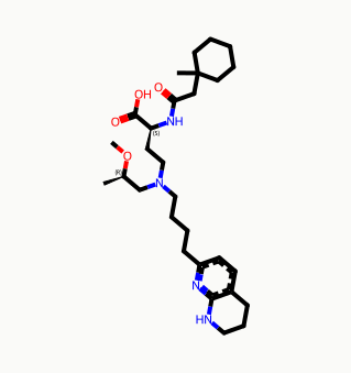 CO[C@H](C)CN(CCCCc1ccc2c(n1)NCCC2)CC[C@H](NC(=O)CC1(C)CCCCC1)C(=O)O